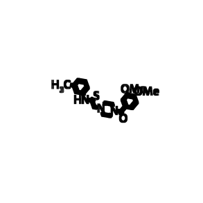 COc1ccc(C(=O)N2CCN(CC(=S)Nc3cccc(C)c3)CC2)cc1OC